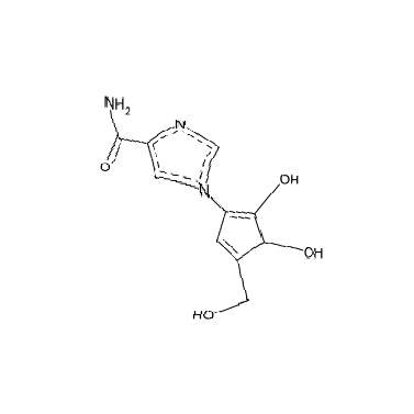 NC(=O)c1cn(C2=C(O)C(O)C(CO)=C2)cn1